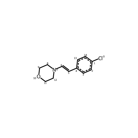 Clc1ccc(C=CN2CCOCC2)cc1